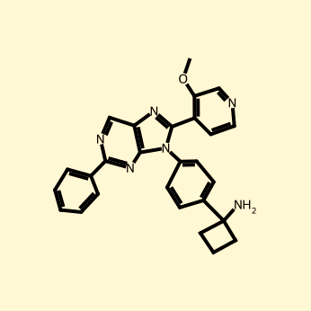 COc1cnccc1-c1nc2cnc(-c3ccccc3)nc2n1-c1ccc(C2(N)CCC2)cc1